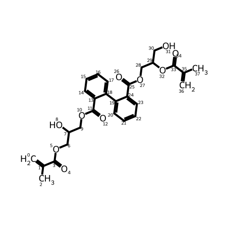 C=C(C)C(=O)OCC(O)COC(=O)c1ccccc1-c1ccccc1C(=O)OCC(CO)OC(=O)C(=C)C